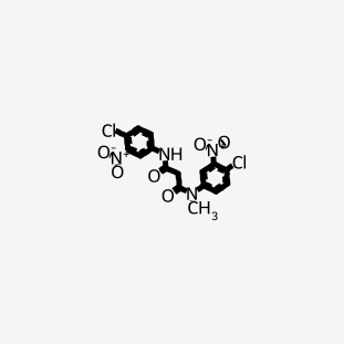 CN(C(=O)CC(=O)Nc1ccc(Cl)c([N+](=O)[O-])c1)c1ccc(Cl)c([N+](=O)[O-])c1